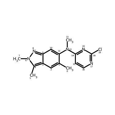 Cc1cc2c(C)n(C)nc2cc1N(C)c1ccnc(Cl)n1